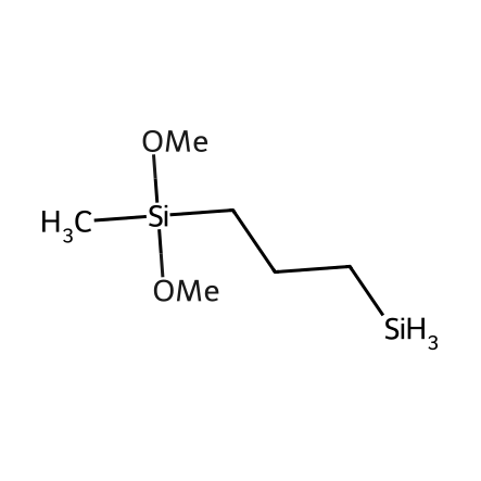 CO[Si](C)(CCC[SiH3])OC